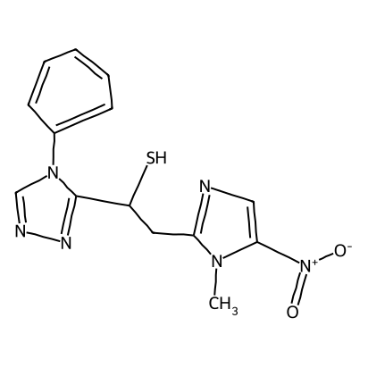 Cn1c([N+](=O)[O-])cnc1CC(S)c1nncn1-c1ccccc1